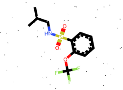 CC(C)CNS(=O)(=O)c1ccccc1OC(F)(F)F